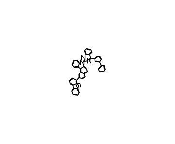 c1ccc(-c2cccc(-c3nc(-n4c5ccccc5c5c6cc(-c7cccc8c7oc7ccccc78)ccc6ccc54)nc4ccccc34)c2)cc1